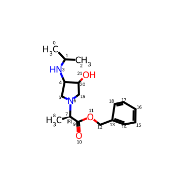 CC(C)NC1CN([C@H](C)C(=O)OCc2ccccc2)CC1O